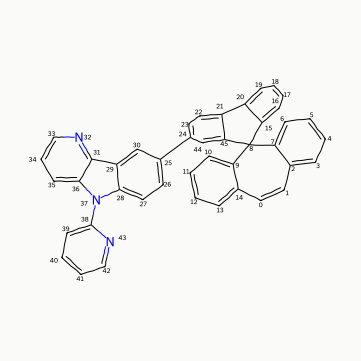 C1=Cc2ccccc2C2(c3ccccc31)c1ccccc1-c1ccc(-c3ccc4c(c3)c3ncccc3n4-c3ccccn3)cc12